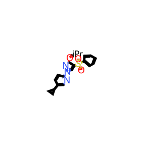 CC(C)Oc1nn(-c2ccc(C3CC3)cn2)cc1S(=O)(=O)c1ccccc1